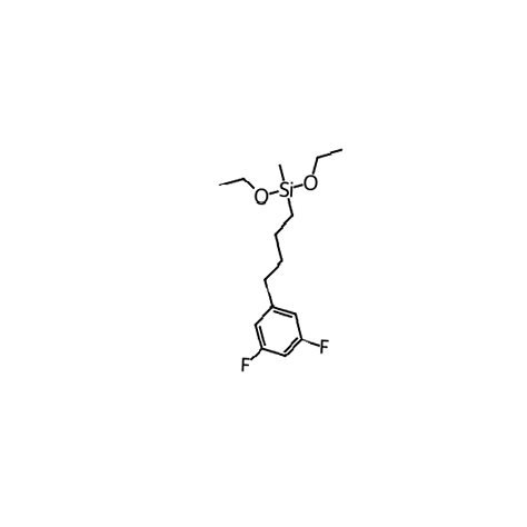 CCO[Si](C)(CCCCc1cc(F)cc(F)c1)OCC